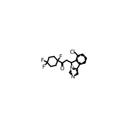 O=C(CC1c2c(Cl)cccc2-c2cncn21)C1(F)CCC(F)(F)CC1